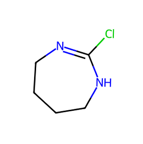 ClC1=NCCCCN1